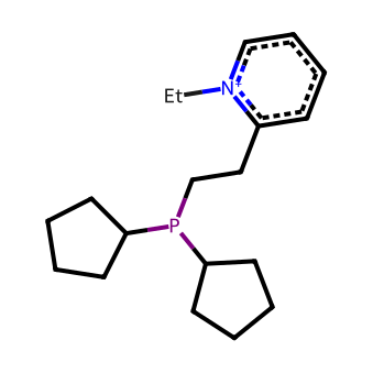 CC[n+]1ccccc1CCP(C1CCCC1)C1CCCC1